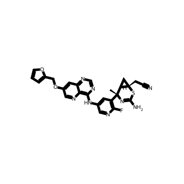 C[C@]1(c2cc(Nc3ncnc4cc(OCc5ccco5)cnc34)cnc2F)N=C(N)S[C@@]2(CC#N)C[C@H]21